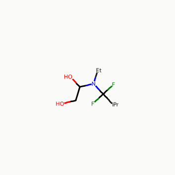 CCN(C(O)CO)C(F)(F)C(C)C